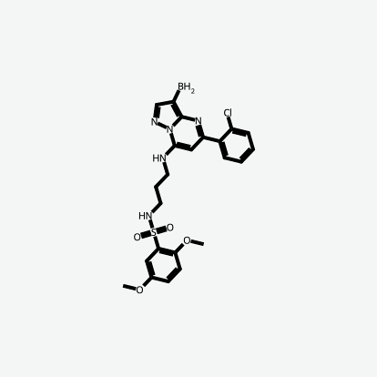 Bc1cnn2c(NCCCNS(=O)(=O)c3cc(OC)ccc3OC)cc(-c3ccccc3Cl)nc12